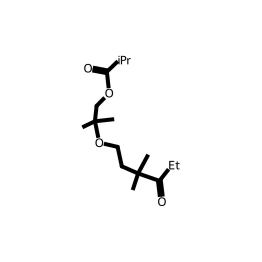 CCC(=O)C(C)(C)CCOC(C)(C)COC(=O)C(C)C